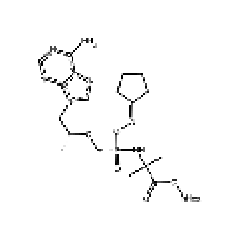 CCCCCCOC(=O)C(C)(C)N[P@](=O)(CO[C@H](C)Cn1cnc2c(N)ncnc21)ON=C1CCCC1